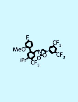 COc1cc(F)ccc1-c1cc(C(C)C)c(C(F)(F)F)cc1CN1C[C@H](c2cc(C(F)(F)F)cc(C(F)(F)F)c2)OC1=O